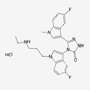 CCNCCCn1cc(-n2c(-c3cn(C)c4ccc(F)cc34)n[nH]c2=O)c2cc(F)ccc21.Cl